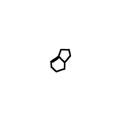 [C]1=C2CCCC2CCC1